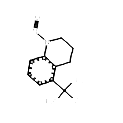 CC(C)(C)c1cccc2c1CCCN2N=O